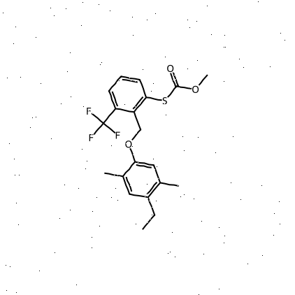 CCc1cc(C)c(OCc2c(SC(=O)OC)cccc2C(F)(F)F)cc1C